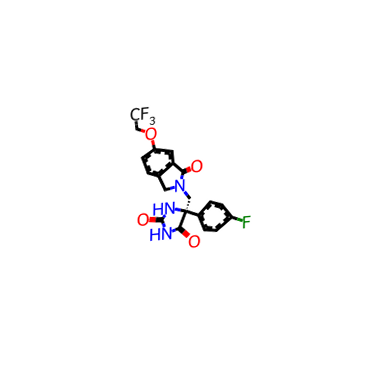 O=C1NC(=O)[C@](CN2Cc3ccc(OCC(F)(F)F)cc3C2=O)(c2ccc(F)cc2)N1